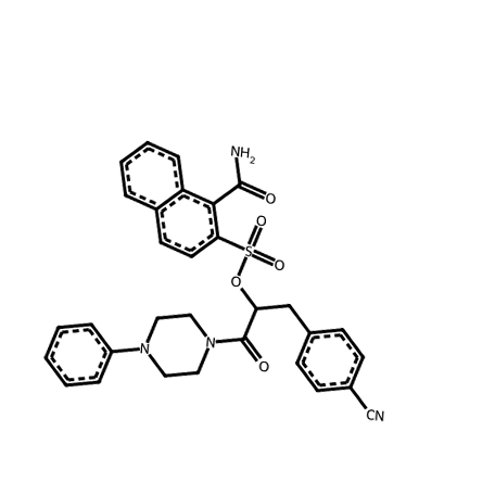 N#Cc1ccc(CC(OS(=O)(=O)c2ccc3ccccc3c2C(N)=O)C(=O)N2CCN(c3ccccc3)CC2)cc1